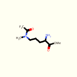 COC(=O)C(N)CCCN(C)C(=O)C(F)(F)F